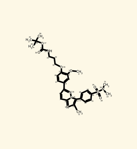 COc1cc(-c2ccc3nc(C)c(-c4ccc(S(=O)(=O)N(C)C)cc4)n3n2)ccc1OCCCNC(=O)OC(C)(C)C